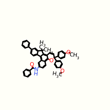 COc1ccc(C2(c3ccc(OC)cc3)C=Cc3c4c(c5cc(NC(=O)c6ccccc6)ccc5c3O2)-c2ccc(-c3ccccc3)cc2C4(C)C)cc1